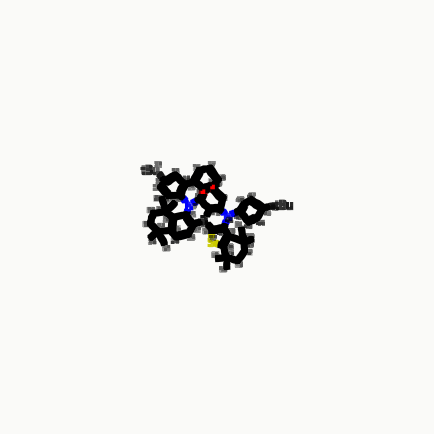 Cc1cc2c3c(c1)N(c1ccc(C(C)(C)C)cc1-c1ccccc1)c1c(ccc4c1C(C)(C)CCC4(C)C)B3c1sc3c(c1N2c1ccc(C(C)(C)C)cc1)C(C)(C)CCC3(C)C